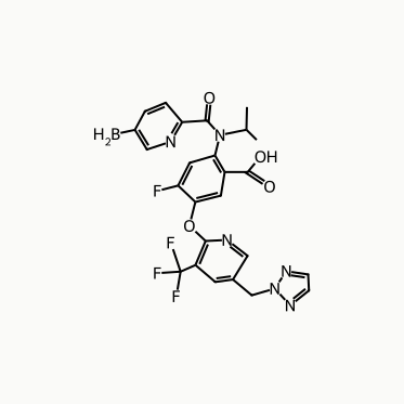 Bc1ccc(C(=O)N(c2cc(F)c(Oc3ncc(Cn4nccn4)cc3C(F)(F)F)cc2C(=O)O)C(C)C)nc1